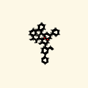 C=Cc1cc(-c2ccccc2)ccc1-c1cccc(C(NC(C)c2cccc(-c3ccccc3)c2)N(C)C(C)c2cccc(-c3ccccc3)c2)c1C